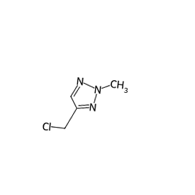 Cn1ncc(CCl)n1